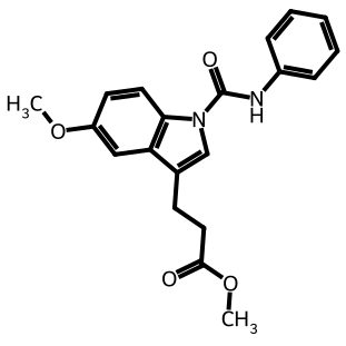 COC(=O)CCc1cn(C(=O)Nc2ccccc2)c2ccc(OC)cc12